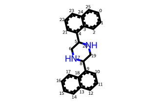 c1ccc2c(C3CNC(c4cccc5ccccc45)CN3)cccc2c1